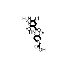 COc1nc(N)c(Cl)cc1C(=O)N[C@@H]1CCN(CC(=O)O)C[C@@H]1OC